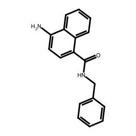 Nc1ccc(C(=O)NCc2ccccc2)c2ccccc12